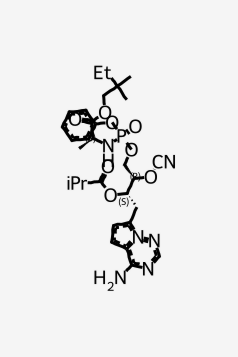 CCC(C)(C)COC(=O)[C@H](C)NP(=O)(OC[C@@H](OC#N)[C@H](Cc1ccc2c(N)ncnn12)OC(=O)C(C)C)Oc1ccccc1